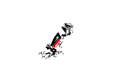 CCCN(C)C(=O)c1cc(-c2ccnn2-c2ccc(OCCN3CCN(C)CC3)cc2)c(OC)cc1OC